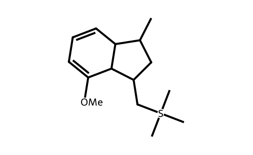 COC1=CC=CC2C(C)CC(CS(C)(C)C)C12